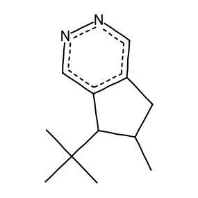 CC1Cc2cnncc2C1C(C)(C)C